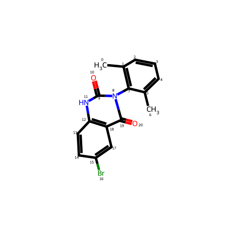 Cc1cccc(C)c1-n1c(=O)[nH]c2ccc(Br)cc2c1=O